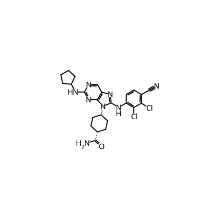 N#Cc1ccc(Nc2nc3cnc(NC4CCCC4)nc3n2[C@H]2CC[C@@H](C(N)=O)CC2)c(Cl)c1Cl